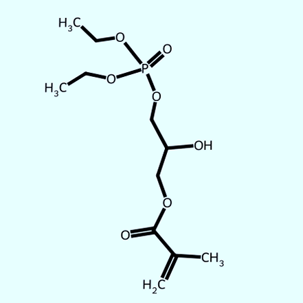 C=C(C)C(=O)OCC(O)COP(=O)(OCC)OCC